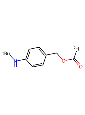 [2H]C(=O)OCc1ccc(NC(C)(C)C)cc1